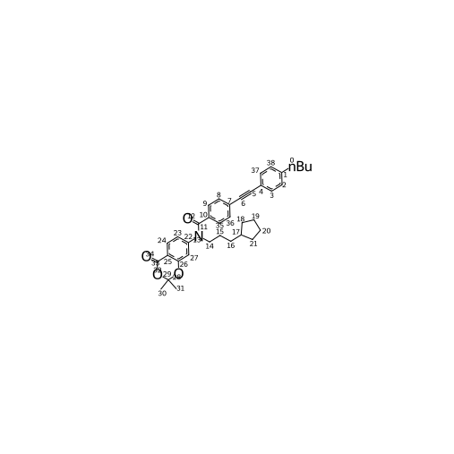 CCCCc1ccc(C#Cc2ccc(C(=O)N(CCCC3CCCC3)c3ccc4c(c3)OC(C)(C)OC4=O)cc2)cc1